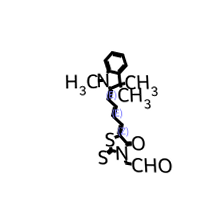 CN1/C(=C/C=C/C=C2\SC(=S)N(CC=O)C2=O)C(C)(C)c2ccccc21